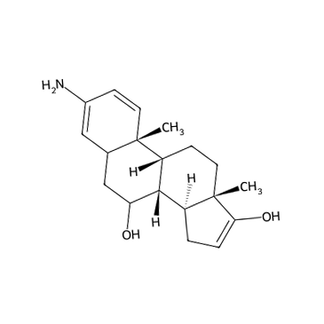 C[C@]12C=CC(N)=CC1CC(O)[C@@H]1[C@H]2CC[C@]2(C)C(O)=CC[C@@H]12